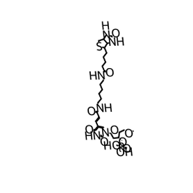 COCC1O[C@@H](n2cc(/C=C/C(=O)NCCCCCCNC(=O)CCCCC3SCC4NC(=O)NC43)c(=O)[nH]c2=O)C[C@H]1OP(=O)(O)O